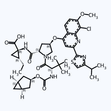 CC[C@@H]1C[C@]1(NC(=O)[C@@H]1C[C@@H](Oc2cc(-c3nc(C(C)C)cs3)nc3c(Cl)c(OC)ccc23)CN1C(=O)[C@@H](NC(=O)O[C@@H]1C[C@@H]2C[C@@H]2C1)C(C)(C)C)C(=O)O